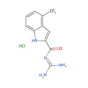 Cl.NC(N)=NC(=O)c1cc2c(C(F)(F)F)cccc2[nH]1